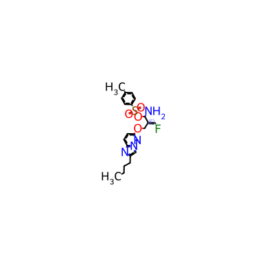 CCCCc1cn2nc(OC/C(=C\F)C(N)OS(=O)(=O)c3ccc(C)cc3)ccc2n1